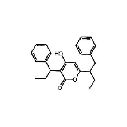 CCC(Cc1ccccc1)c1cc(O)c(C(CC)c2ccccc2)c(=O)o1